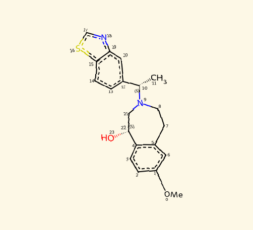 COc1ccc2c(c1)CCN([C@@H](C)c1ccc3scnc3c1)C[C@H]2O